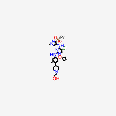 Cc1cc(Nc2ncc(Cl)c(Nc3cn(C)nc3S(=O)(=O)C(C)C)n2)c(OC2CCC2)cc1C1CCN(CCO)CC1